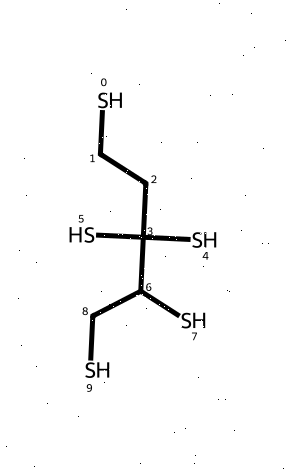 SCCC(S)(S)C(S)CS